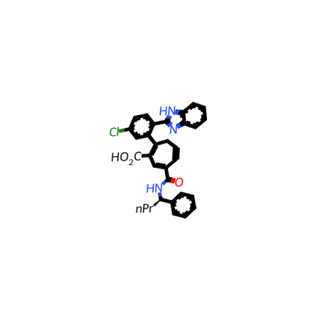 CCC[C@@H](NC(=O)C1=CC(C(=O)O)=C(c2cc(Cl)ccc2-c2nc3ccccc3[nH]2)CC#C1)c1ccccc1